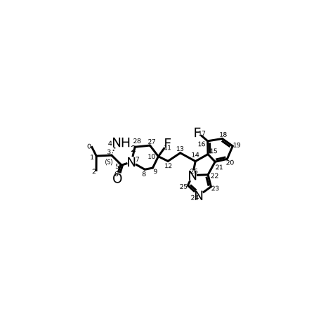 CC(C)[C@H](N)C(=O)N1CCC(F)(CCC2c3c(F)cccc3-c3cncn32)CC1